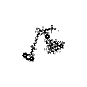 CO[C@H]([C@@H](C)C(=O)NCC(=O)Nc1ccc(NC(=O)C(CCCNC(N)=O)NC(=O)[C@@H](NC(=O)CCOCCOCCNC(=O)CCCC(=O)N2Cc3ccccc3C#Cc3ccccc32)C(C)C)cc1)[C@@H]1CCCN1C(=O)C[C@@H](OC)[C@H](C1CCCC1)N(C)C(=O)[C@@H](NC(=O)[C@H](C(C)C)N(C)C)C(C)C